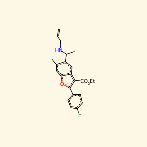 C=CCNC(C)c1cc2c(C(=O)OCC)c(-c3ccc(F)cc3)oc2cc1C